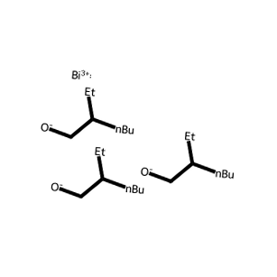 CCCCC(CC)C[O-].CCCCC(CC)C[O-].CCCCC(CC)C[O-].[Bi+3]